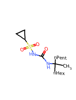 CCCCCCC(C)(CCCCC)NC(=O)NS(=O)(=O)C1CC1